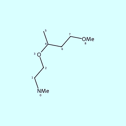 CNCCOC(C)CCOC